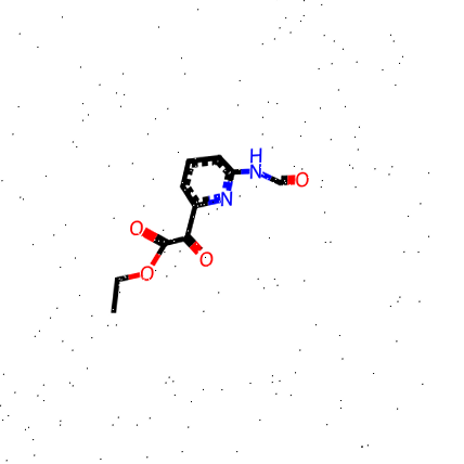 CCOC(=O)C(=O)c1cccc(NC=O)n1